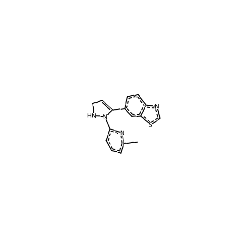 Cc1cccc(N2NCC=C2c2ccc3ncsc3c2)n1